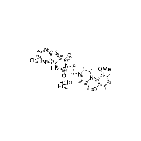 COc1cccc2c1N1CCN(CCn3c(=O)[nH]c4c(sc5ncc(Cl)nc54)c3=O)CC1CO2.Cl.Cl